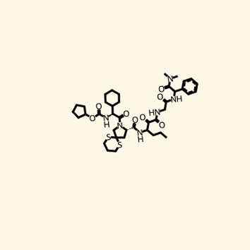 CCCC(NC(=O)[C@@H]1CC2(CN1C(=O)[C@@H](NC(=O)OC1CCCC1)C1CCCCC1)SCCCS2)C(=O)C(=O)NCC(=O)NC(C(=O)N(C)C)c1ccccc1